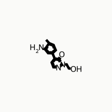 Cc1ccc(-c2ccnn(CCO)c2=O)cc1N